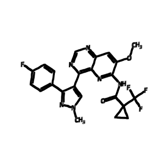 COc1cc2ncnc(-c3cn(C)nc3-c3ccc(F)cc3)c2nc1NC(=O)C1(C(F)(F)F)CC1